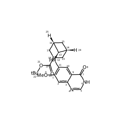 COc1cc2nc[nH]c(=O)c2cc1N[C@@H]1[C@@H]2C[C@H]1CN(C(=O)OC(C)(C)C)C2